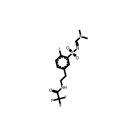 CN(C)/C=N/S(=O)(=O)c1cc(CCNC(=O)C(F)(F)F)ccc1I